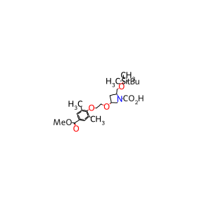 COC(=O)c1cc(C)c(OCCOC2CC(CO[Si](C)(C)C(C)(C)C)N(C(=O)O)C2)c(C)c1